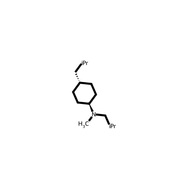 CC(C)CN(C)[C@H]1CC[C@H](CC(C)C)CC1